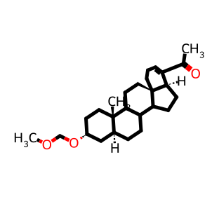 COCO[C@@H]1CC[C@]2(C)C3CC[C@@]45CCC=C(C(C)=O)[C@H]4CCC5C3CC[C@H]2C1